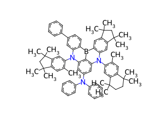 Cc1cc2c(cc1N1c3cc4c(cc3B3c5ccc(-c6ccccc6)cc5N(c5cc6c(cc5C)C(C)(C)CC6(C)C)c5cc(N(c6ccccc6)c6ccccc6)cc1c53)C(C)(C)CC4(C)C)C(C)(C)CCC2(C)C